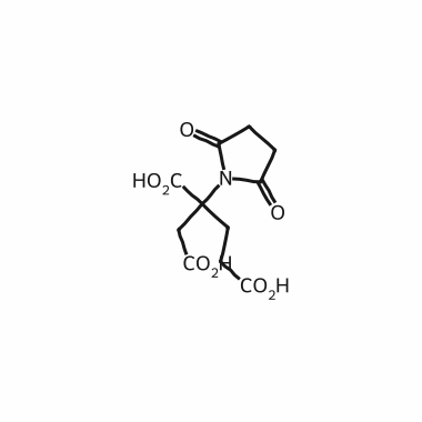 O=C(O)CCC(CC(=O)O)(C(=O)O)N1C(=O)CCC1=O